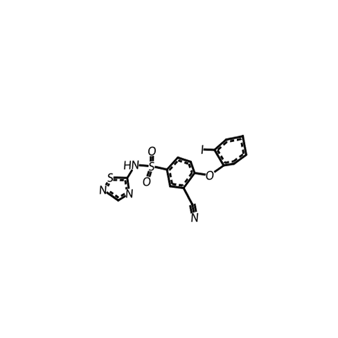 N#Cc1cc(S(=O)(=O)Nc2ncns2)ccc1Oc1ccccc1I